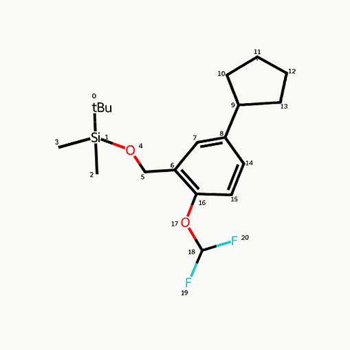 CC(C)(C)[Si](C)(C)OCc1cc(C2C[CH]CC2)ccc1OC(F)F